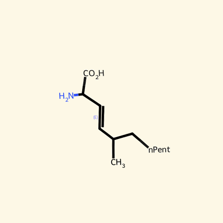 CCCCCCC(C)/C=C/C(N)C(=O)O